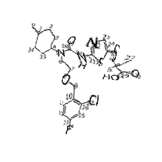 CC1CCC(N(CCOCc2ccc(F)cc2Cl)C(=O)Nc2ncc(SC(C)(C)C(=O)O)s2)CC1